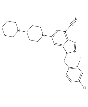 N#Cc1cc(N2CCC(N3CCCCC3)CC2)cc2c1cnn2Cc1ccc(Cl)cc1Cl